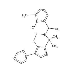 CC1(C)c2ncn(-c3ccccc3)c2CCN1C(O)c1cccc(C(F)(F)F)c1Cl